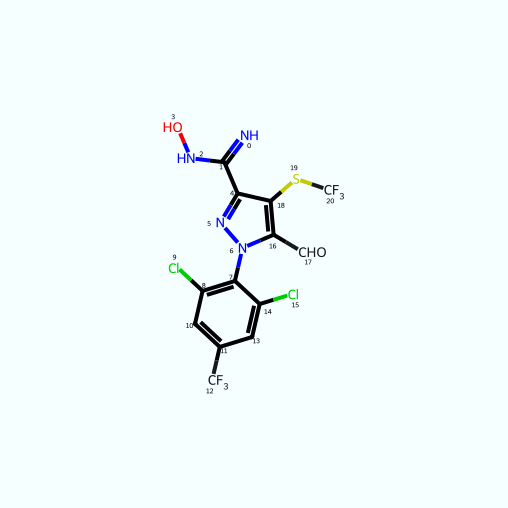 N=C(NO)c1nn(-c2c(Cl)cc(C(F)(F)F)cc2Cl)c(C=O)c1SC(F)(F)F